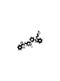 COCCCn1c([C@@H]2CCCN(C(=O)C[C@@H](N)CNC(=O)c3ccccc3)C2)nc2ccccc21